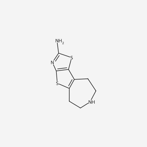 Nc1nc2sc3c(c2s1)CCNCC3